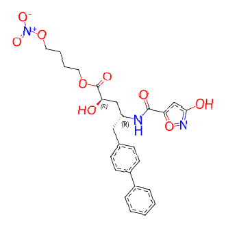 O=C(N[C@H](Cc1ccc(-c2ccccc2)cc1)C[C@@H](O)C(=O)OCCCCO[N+](=O)[O-])c1cc(O)no1